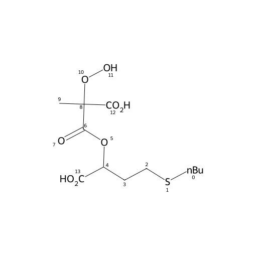 CCCCSCCC(OC(=O)C(C)(OO)C(=O)O)C(=O)O